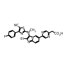 CCc1nc2ccc(-c3cnc(CC(=O)O)cn3)cn2c1N(C)c1nc(-c2ccc(F)cc2)c(C#N)s1